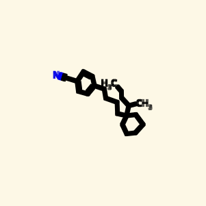 CCCC(C)C1(CCCCc2ccc(C#N)cc2)CCCCC1